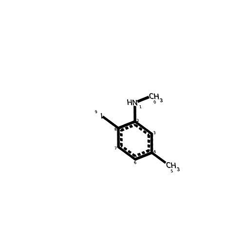 CNc1cc(C)ccc1I